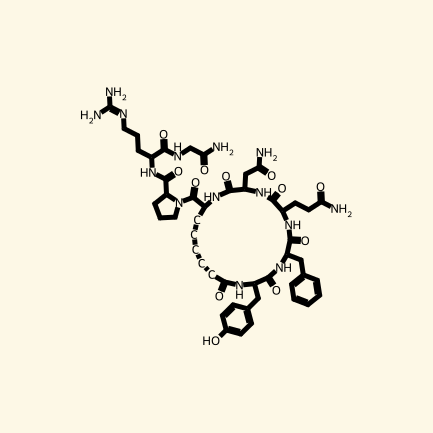 NC(=O)CCC1NC(=O)C(Cc2ccccc2)NC(=O)C(Cc2ccc(O)cc2)NC(=O)CCCCCC(C(=O)N2CCCC2C(=O)NC(CCCN=C(N)N)C(=O)NCC(N)=O)NC(=O)C(CC(N)=O)NC1=O